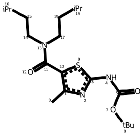 Cc1nc(NC(=O)OC(C)(C)C)sc1C(=O)N(CCC(C)C)CCC(C)C